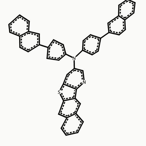 c1ccc2cc(-c3ccc(N(c4ccc(-c5ccc6ccccc6c5)cc4)c4cnc5c(c4)sc4cc6ccccc6cc45)cc3)ccc2c1